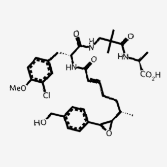 COc1ccc(C[C@@H](NC(=O)/C=C/CC[C@H](C)C2OC2c2ccc(CO)cc2)C(=O)NCC(C)(C)C(=O)N[C@@H](C)C(=O)O)cc1Cl